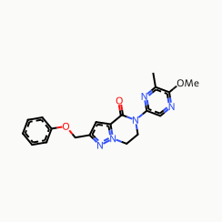 COc1ncc(N2CCn3nc(COc4ccccc4)cc3C2=O)nc1C